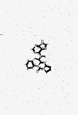 CC(c1nc2cccn2c(=O)n1-c1ccccc1)N(C)c1ncnc2[nH]cnc12